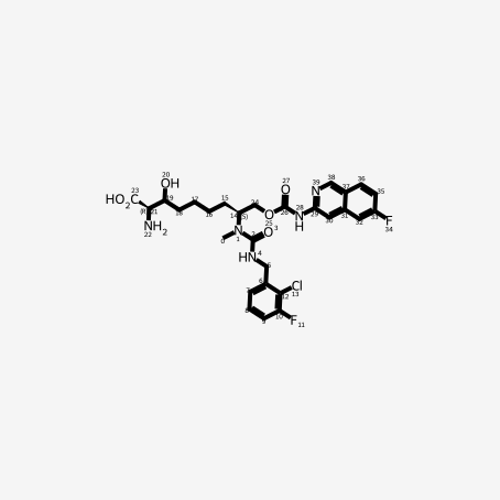 CN(C(=O)NCc1cccc(F)c1Cl)[C@@H](CCCCC(O)[C@@H](N)C(=O)O)COC(=O)Nc1cc2cc(F)ccc2cn1